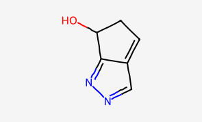 OC1CC=C2C=NN=C21